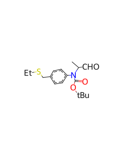 CCSCc1ccc(N(C(=O)OC(C)(C)C)C(C)C=O)cc1